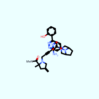 C=C1CN(CC#Cc2cc(N3C4CCC3CN(c3cc(-c5ccccc5O)nnc3N)C4)ccn2)C(C)(C(=O)NC)C1